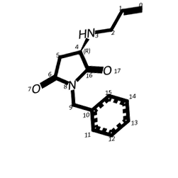 C=CCN[C@@H]1CC(=O)N(Cc2ccccc2)C1=O